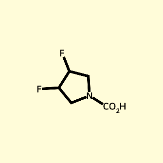 O=C(O)N1CC(F)C(F)C1